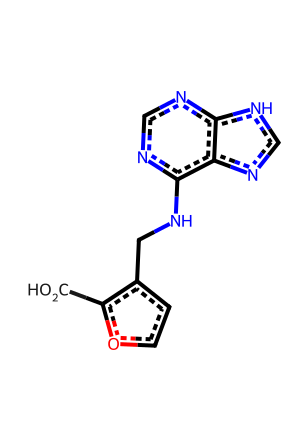 O=C(O)c1occc1CNc1ncnc2[nH]cnc12